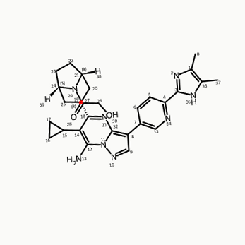 Cc1nc(-c2ccc(-c3cnn4c(N)c(C5CC5)c([C@H]5C[C@H]6CC[C@@H](C5)N6C(=O)CO)nc34)cn2)[nH]c1C